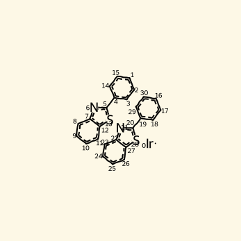 [Ir].c1ccc(-c2nc3ccccc3s2)cc1.c1ccc(-c2nc3ccccc3s2)cc1